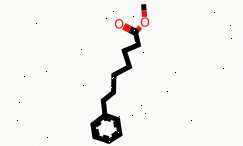 COC(=O)CCCCCCc1ccccc1